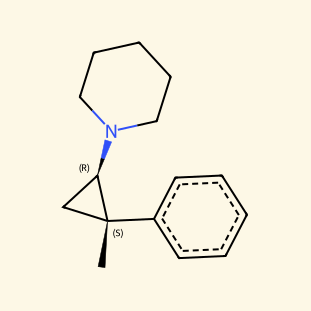 C[C@@]1(c2ccccc2)C[C@H]1N1CCCCC1